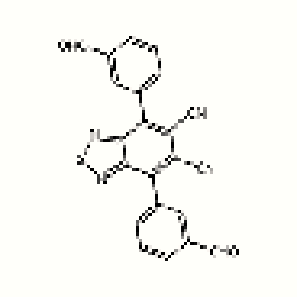 N#Cc1c(C#N)c(-c2cccc(C=O)c2)c2nsnc2c1-c1cccc(C=O)c1